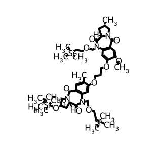 COc1cc2c(cc1OCCCOc1cc3c(cc1C)C(=O)N1C[C@H](O[Si](C)(C)C(C)(C)C)C[C@H]1C(=O)N3COCC[Si](C)(C)C)N(COCC[Si](C)(C)C)C(=O)[C@@H]1C[C@@H](C)CN1C2=O